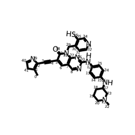 CC1=C(C#Cc2cc3cnc(Nc4ccc(NC5CCCN(C)C5)cc4)nc3n(Cc3ccncc3S)c2=O)N=CC1